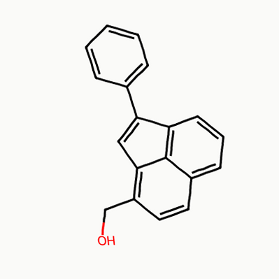 OCc1ccc2cccc3c2c1C=C3c1ccccc1